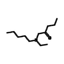 CCCCCN(CC)CC(=O)CCC